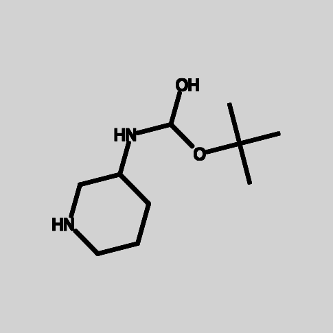 CC(C)(C)OC(O)NC1CCCNC1